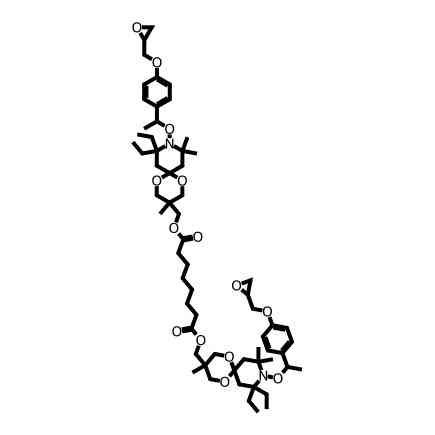 CCC1(CC)CC2(CC(C)(C)N1OC(C)c1ccc(OCC3CO3)cc1)OCC(C)(COC(=O)CCCCCCC(=O)OCC1(C)COC3(CC(C)(C)N(OC(C)c4ccc(OCC5CO5)cc4)C(CC)(CC)C3)OC1)CO2